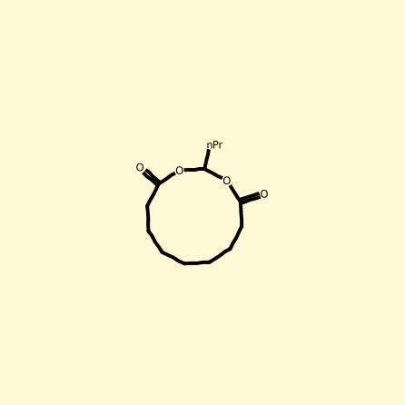 CCCC1OC(=O)CCCCCCCC(=O)O1